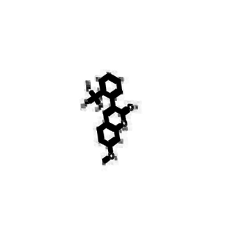 COc1ccc2cc(-c3ccccc3C(F)(F)F)c(=O)oc2c1